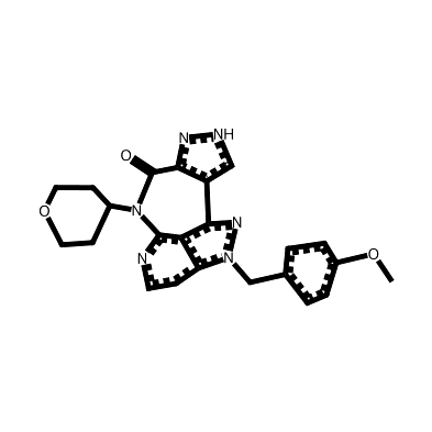 COc1ccc(Cn2nc3c4c(nccc42)N(C2CCOCC2)C(=O)c2n[nH]cc2-3)cc1